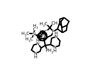 CC(C)(C)P(C[C]12[CH]3[C]4([Si](C)(C)C)[CH]5[C]1(C(P)(C1CNCCN1)C1CNCCN1)[Fe]35241678[CH]2[CH]1[CH]6[CH]7[CH]28)C1C2CC3CC(C2)CC1C3